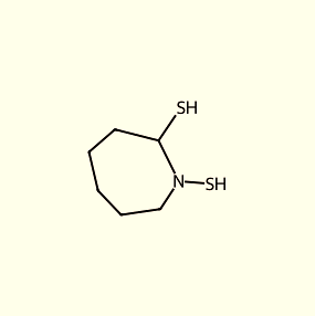 SC1CCCCCN1S